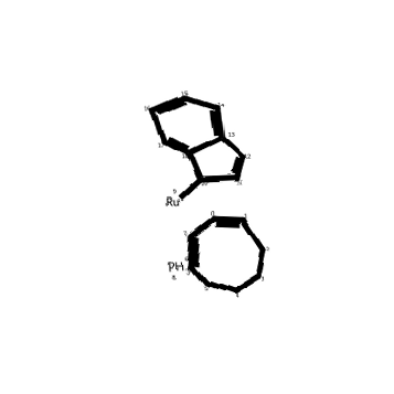 C1=CCCCCC=C1.P.[Ru][CH]1C=Cc2ccccc21